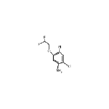 Nc1cc(OCC(F)F)c(Cl)cc1Cl